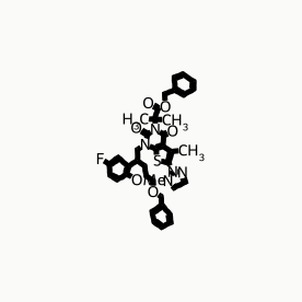 COc1ccc(F)cc1C(CCCOCc1ccccc1)Cn1c(=O)n(C(C)(C)C(=O)OCc2ccccc2)c(=O)c2c(C)c(-n3nccn3)sc21